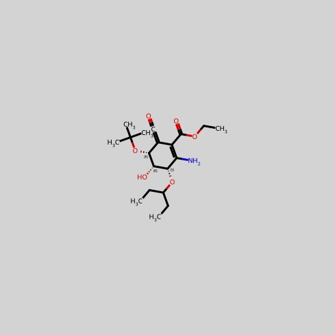 CCOC(=O)C1=C(N)[C@H](OC(CC)CC)[C@H](O)[C@H](OC(C)(C)C)C1=C=O